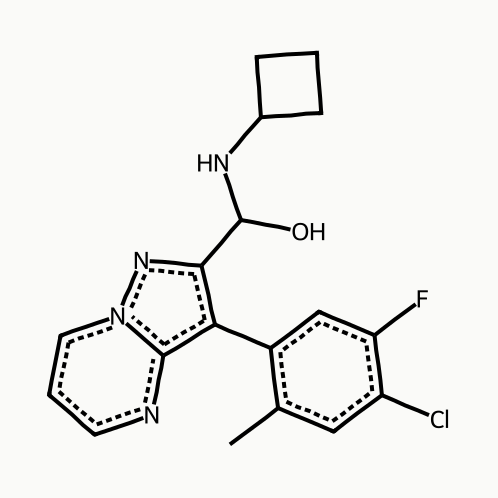 Cc1cc(Cl)c(F)cc1-c1c(C(O)NC2CCC2)nn2cccnc12